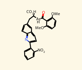 COc1cccc(OC)c1C(=O)[AsH]C(Cc1ccc2nc(-c3ccccc3[N+](=O)[O-])ccc2c1)C(=O)O